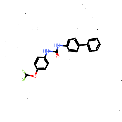 O=C(Nc1ccc(OC(F)F)cc1)Nc1ccc(-c2ccccc2)cc1